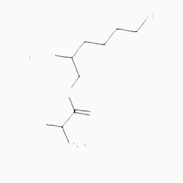 CCCCCCCCCCCCCCC(CCCCC)COC(=O)C(C)CCCCCCCCC